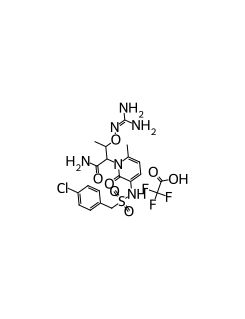 Cc1ccc(NS(=O)(=O)Cc2ccc(Cl)cc2)c(=O)n1C(C(N)=O)C(C)ON=C(N)N.O=C(O)C(F)(F)F